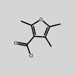 Cc1oc(C)c(C(=O)Cl)c1C